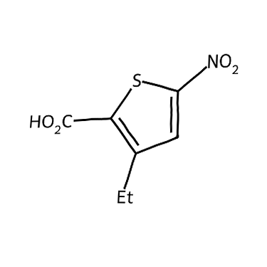 CCc1cc([N+](=O)[O-])sc1C(=O)O